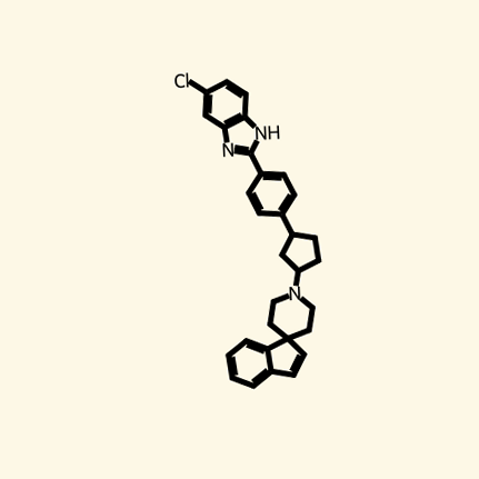 Clc1ccc2[nH]c(-c3ccc(C4CCC(N5CCC6(C=Cc7ccccc76)CC5)C4)cc3)nc2c1